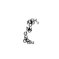 CC(C)(C)OC(=O)N1CCC(OCCc2nc(-c3ccc(S(C)(=O)=O)c(F)c3)no2)CC1